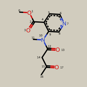 COC(=O)c1ccncc1N(C)C(=O)CC(C)=O